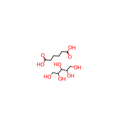 O=C(O)CCCCC(=O)O.OCC(O)C(O)C(O)CO